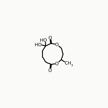 CC1CCOC(=O)C(O)(O)CCCC(=O)O1